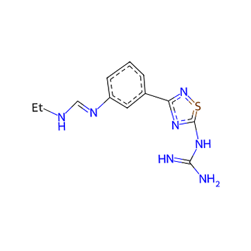 CCN/C=N/c1cccc(-c2nsc(NC(=N)N)n2)c1